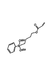 C=CC(=O)OCCCC[Si](OC)(OC)c1ccccc1